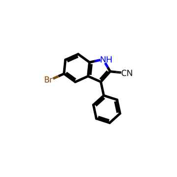 N#Cc1[nH]c2ccc(Br)cc2c1-c1ccccc1